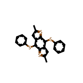 Cc1cc2c(Sc3ccccc3)c3sc(C)cc3c(Sc3ccccc3)c2s1